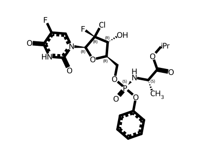 CC(C)OC(=O)[C@H](C)N[P@](=O)(OC[C@H]1O[C@@H](n2cc(F)c(=O)[nH]c2=O)[C@](F)(Cl)[C@@H]1O)Oc1ccccc1